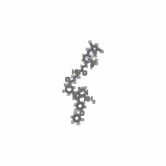 CC(/C=C\C(CCC(=O)NC/C=C/C(=O)N1CCCC(n2nc(-c3ccc(Oc4ccccc4)cc3)c3c(N)ncnc32)C1)=N\B(F)F)=C\c1c(C)cc(C)n1C